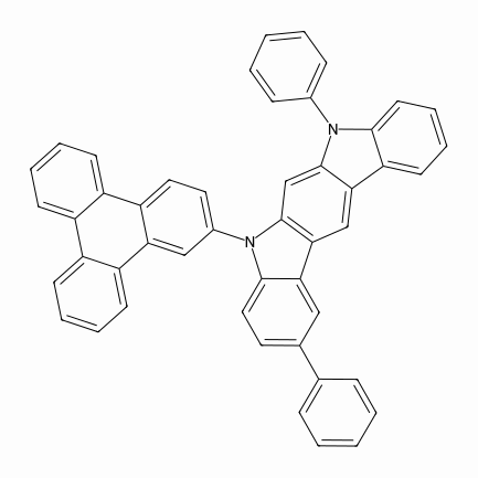 c1ccc(-c2ccc3c(c2)c2cc4c5ccccc5n(-c5ccccc5)c4cc2n3-c2ccc3c4ccccc4c4ccccc4c3c2)cc1